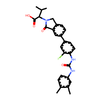 Cc1ccc(NC(=O)Nc2ccc(-c3ccc4c(c3)C(=O)N(C(C(=O)O)C(C)C)C4)cc2F)cc1C